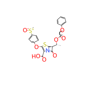 C[C@@H](OC(=O)COc1ccccc1)[C@H]1C(=O)N2C(C(=O)O)=C(Oc3ccc([S+](C)[O-])cc3)SC12